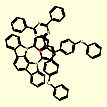 c1ccc(Oc2ccc(B(c3ccc(Oc4ccccc4)cc3)c3cccc(-n4c5ccccc5c5ccc6c7ccccc7n(-c7cccc(-c8nc(-c9ccccc9)nc(-c9ccccc9)n8)c7)c6c54)c3)cc2)cc1